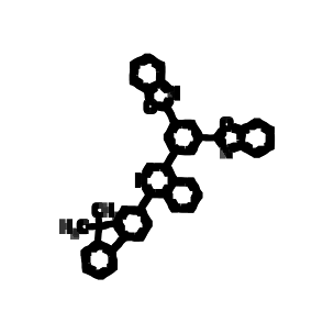 CC1(C)c2ccccc2-c2ccc(-c3ncc(-c4cc(-c5nc6ccccc6o5)cc(-c5nc6ccccc6o5)c4)c4ccccc34)cc21